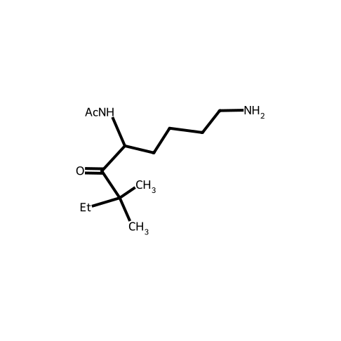 CCC(C)(C)C(=O)C(CCCCN)NC(C)=O